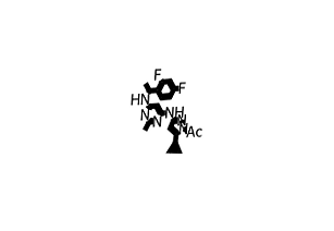 CC(=O)n1nc(Nc2cc(NC(C)c3ccc(F)cc3F)nc(C)n2)cc1C1CC1